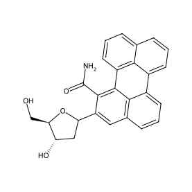 NC(=O)c1c(C2C[C@H](O)[C@@H](CO)O2)cc2cccc3c4cccc5cccc(c1c23)c54